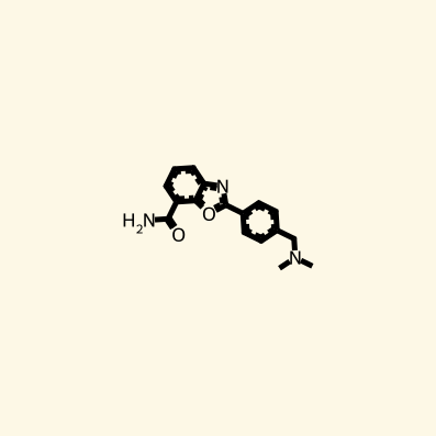 CN(C)Cc1ccc(-c2nc3cccc(C(N)=O)c3o2)cc1